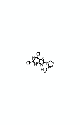 C[C@@H]1CCCN1c1nc2nc(Cl)nc(Cl)c2s1